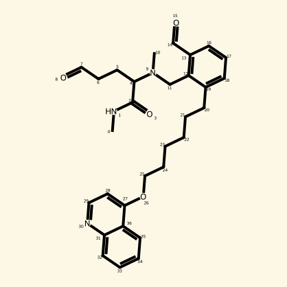 CNC(=O)C(CCC=O)N(C)Cc1c(C=O)cccc1CCCCCCOc1ccnc2ccccc12